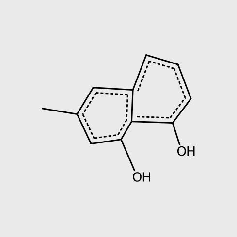 Cc1cc(O)c2c(O)cccc2c1